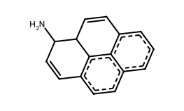 NC1C=Cc2ccc3cccc4c3c2C1C=C4